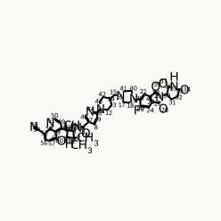 CC1(C)C(NC(=O)c2ccc(N3CCC(CN4CCN(c5cc6c(cc5F)C(=O)N(C5CCC(=O)NC5=O)C6=O)CC4)CC3)nc2)C2(C)c3ccnc4c(C#N)ccc(c34)O[C@@H]12